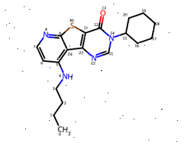 CCCCNc1ccnc2sc3c(=O)n(C4CCCCC4)cnc3c12